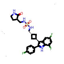 O=C1NCCC1CNS(=O)(=O)NC[C@H]1C[C@H](c2c(-c3ccc(F)cc3)[nH]c3c(F)cc(F)cc32)C1